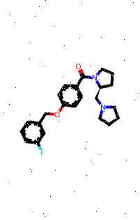 O=C(c1ccc(OCc2cccc(F)c2)cc1)N1CCC[C@H]1CN1CCCC1